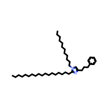 CCCCCCCCCCCCCCCCCCc1nc(CCCc2ccccc2)cn1CCCCCCCCCCCC